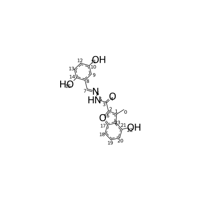 Cc1c(C(=O)NN=Cc2cc(O)ccc2O)oc2cccc(O)c12